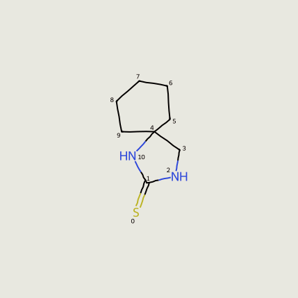 S=C1NCC2(CCCCC2)N1